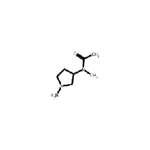 CC(=O)N(C)C1CCN(N)C1